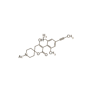 CC#Cc1cc(C)c(C2=C(O)CC3(CCN(C(C)=O)CC3)OC2=O)c(C)c1